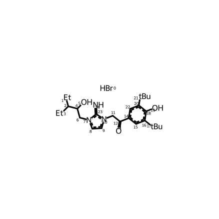 Br.CCC(CC)C(O)Cn1ccn(CC(=O)c2cc(C(C)(C)C)c(O)c(C(C)(C)C)c2)c1=N